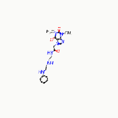 Cn1c(=O)c2c(ncn2CC(=O)NCCNCCNc2ccccc2)n(C)c1=O